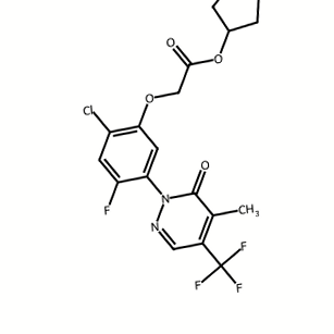 Cc1c(C(F)(F)F)cnn(-c2cc(OCC(=O)OC3CCCC3)c(Cl)cc2F)c1=O